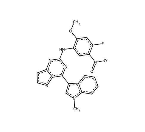 COc1cc(F)c([N+](=O)[O-])cc1Nc1nc(-c2cn(C)c3ccccc23)c2sccc2n1